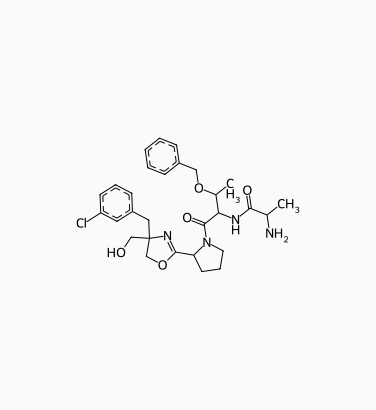 CC(N)C(=O)NC(C(=O)N1CCCC1C1=NC(CO)(Cc2cccc(Cl)c2)CO1)C(C)OCc1ccccc1